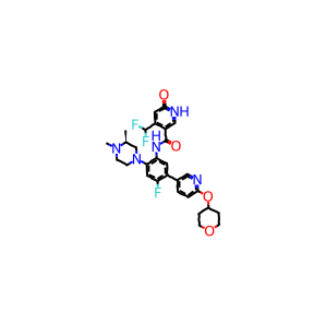 C[C@H]1CN(c2cc(F)c(-c3ccc(OC4CCOCC4)nc3)cc2NC(=O)c2c[nH]c(=O)cc2C(F)F)CCN1C